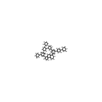 c1ccc(-c2ccc(-c3nc(-c4ccccc4)nc(-c4cccc5c4ccc4c(-c6nc(-c7ccccc7)nc(-c7ccc(-c8ccccc8)cc7)n6)cccc45)n3)cc2)cc1